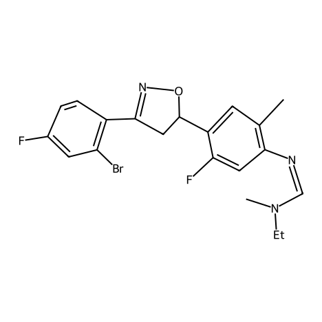 CCN(C)/C=N\c1cc(F)c(C2CC(c3ccc(F)cc3Br)=NO2)cc1C